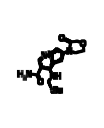 CC(C)(C)CNc1c(C(N)=O)cnn2cc(N3CCOCC3=O)cc12